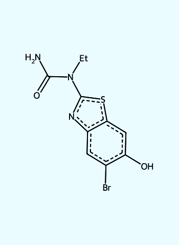 CCN(C(N)=O)c1nc2cc(Br)c(O)cc2s1